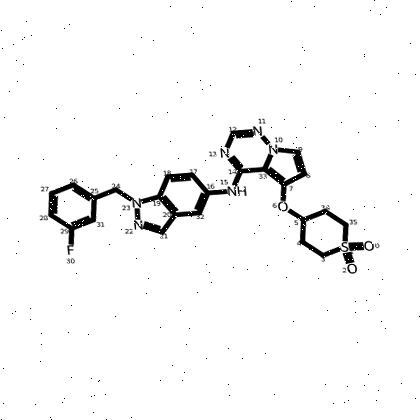 O=S1(=O)CCC(Oc2ccn3ncnc(Nc4ccc5c(cnn5Cc5cccc(F)c5)c4)c23)CC1